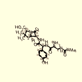 CNC(=O)NCC(N)C(=O)NC(C(=O)N[C@@H]1C(=O)N2[C@@H]1SC(C)(C)[C@@H]2C(=O)O)c1ccc(O)cc1